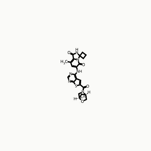 Cc1cc(Nc2ncnc3sc(C(=O)N4C[C@H]5C[C@@H]4CO5)cc23)c(=O)n2c1C(=O)NC21CCC1